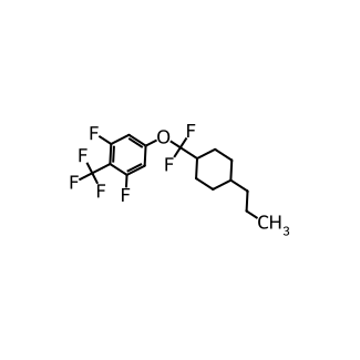 CCCC1CCC(C(F)(F)Oc2cc(F)c(C(F)(F)F)c(F)c2)CC1